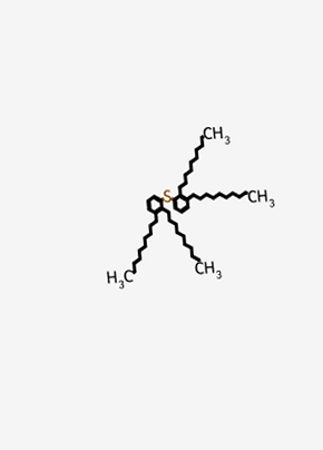 CCCCCCCCCCc1cccc(Sc2cccc(CCCCCCCCCC)c2CCCCCCCCCC)c1CCCCCCCCCC